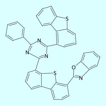 c1ccc(-c2nc(-c3cccc4c3sc3c(-c5nc6ccccc6o5)cccc34)nc(-c3cccc4sc5ccccc5c34)n2)cc1